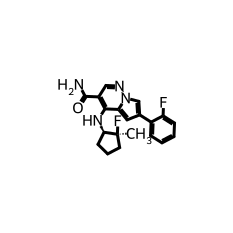 C[C@]1(F)CCC[C@H]1Nc1c(C(N)=O)cnn2cc(-c3ccccc3F)cc12